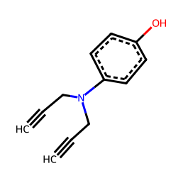 C#CCN(CC#C)c1ccc(O)cc1